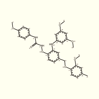 COc1ccc(NC(=O)NOc2ccc(COc3ccc(C)cc3OC)cc2Nc2cc(OC)cc(OC)c2)cc1